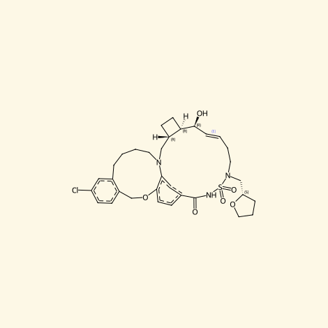 O=C1NS(=O)(=O)N(C[C@@H]2CCCO2)CC/C=C/[C@H](O)[C@@H]2CC[C@H]2CN2CCCCc3cc(Cl)ccc3COc3ccc1cc32